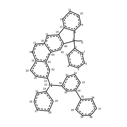 CC1(c2ccccn2)c2ccccc2-c2cc3ccc4ccc(N(c5ccccc5)c5cccc(-c6ccccc6)c5)cc4c3cc21